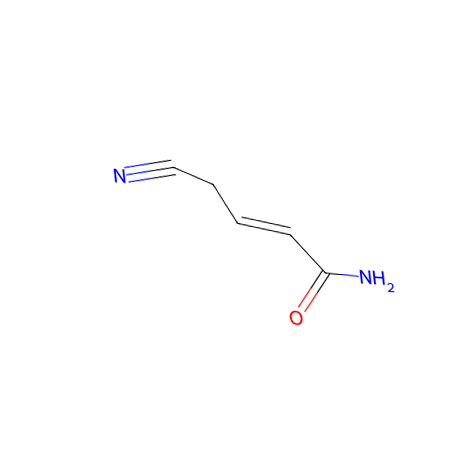 N#CCC=CC(N)=O